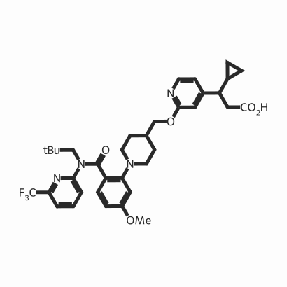 COc1ccc(C(=O)N(CC(C)(C)C)c2cccc(C(F)(F)F)n2)c(N2CCC(COc3cc(C(CC(=O)O)C4CC4)ccn3)CC2)c1